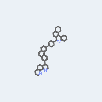 C1=Cc2c(ccc3c(C4=CC=C(c5ccc6ccc7cc(-c8ccnc9c8ccc8cccnc89)ccc7c6c5)CC4)nc4ccccc4c23)CC1